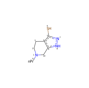 CCCN1CCc2c(S)n[nH]c2C1